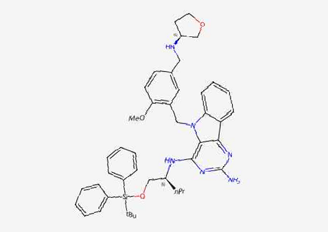 CCC[C@@H](CO[Si](c1ccccc1)(c1ccccc1)C(C)(C)C)Nc1nc(N)nc2c3ccccc3n(Cc3cc(CN[C@H]4CCOC4)ccc3OC)c12